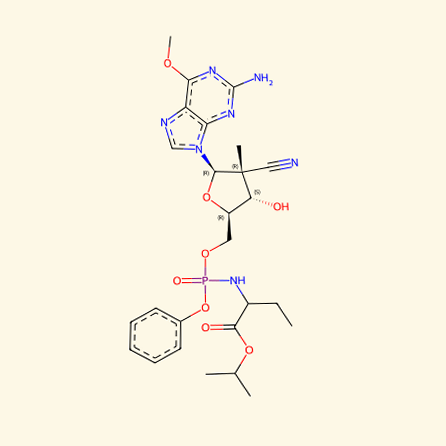 CCC(NP(=O)(OC[C@H]1O[C@@H](n2cnc3c(OC)nc(N)nc32)[C@](C)(C#N)[C@@H]1O)Oc1ccccc1)C(=O)OC(C)C